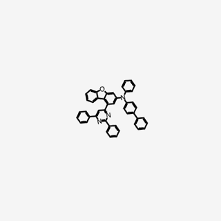 c1ccc(-c2ccc(N(c3ccccc3)c3cc(-c4cc(-c5ccccc5)nc(-c5ccccc5)n4)c4c(c3)oc3ccccc34)cc2)cc1